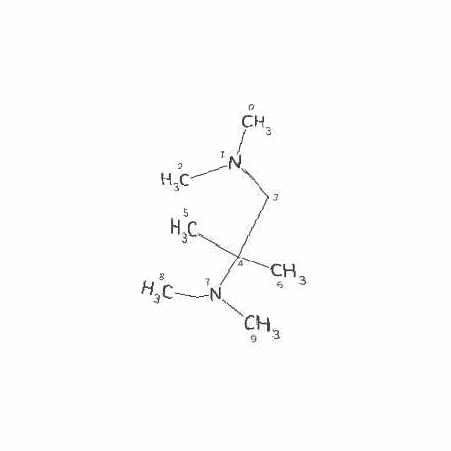 CN(C)CC(C)(C)N(C)C